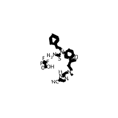 CN(CCc1coc2ccc(N(CCc3ccccc3)C(N)=S)cc12)Cc1ncc(C#N)[nH]1.O=C(O)C(F)(F)F